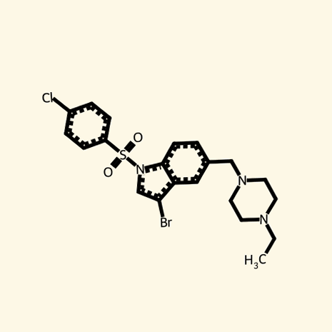 CCN1CCN(Cc2ccc3c(c2)c(Br)cn3S(=O)(=O)c2ccc(Cl)cc2)CC1